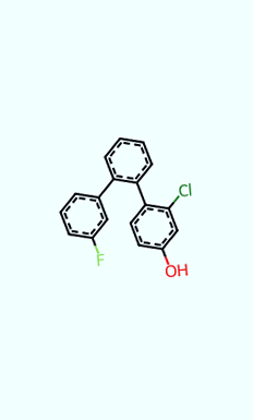 Oc1ccc(-c2ccccc2-c2cccc(F)c2)c(Cl)c1